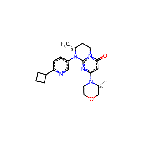 C[C@@H]1COCCN1c1cc(=O)n2c(n1)N(c1ccc(C3CCC3)nc1)[C@H](C(F)(F)F)CC2